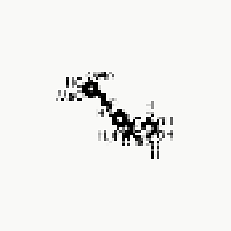 CCCCCCCCOc1c(O[C@@H]2O[C@H](CO)[C@@H](O)[C@H](O)[C@@H]2O)c2ccc(NC(=O)/C=C/c3cc(OC)c(O)c(OC)c3)cc2n(C)c1=O